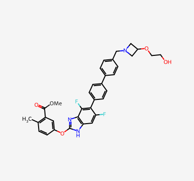 COC(=O)c1cc(Oc2nc3c(F)c(-c4ccc(-c5ccc(CN6CC(OCCO)C6)cc5)cc4)c(F)cc3[nH]2)ccc1C